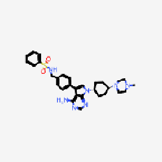 CN1CCN([C@H]2CC[C@@H](n3cc(-c4ccc(CNS(=O)(=O)c5ccccc5)cc4)c4c(N)ncnc43)CC2)CC1